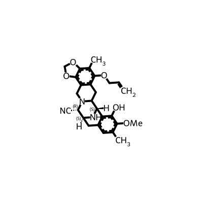 C=CCOc1c(C)c2c(c3c1CC1[C@H]4N[C@@H](Cc5cc(C)c(OC)c(O)c54)[C@H](C#N)N1C3)OCO2